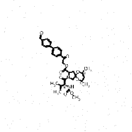 COC(=O)N[C@H](C(=O)N1CC2(CC1C(=O)OCC(=O)c1ccc(-c3ccc(C=O)cc3)cc1)O[C@@H](C)C[C@H](C)O2)C(C)C